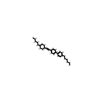 CCCCCCc1ccc(-c2ccc(C#CC3CCC(CCCCC)CC3)cc2)cc1